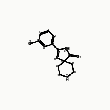 O=C1NC(c2cccc(Cl)c2)=NC12CCNCC2